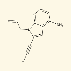 [CH2]C#Cc1cc2c(N)cccc2n1CC=C